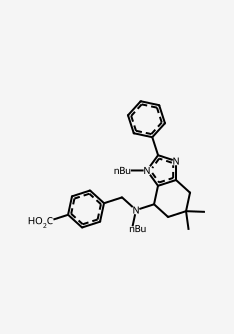 CCCCN(Cc1ccc(C(=O)O)cc1)C1CC(C)(C)Cc2nc(-c3ccccc3)n(CCCC)c21